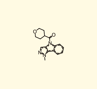 Cn1ncc2c1c1ccccc1n2C(=O)C1CCOCC1